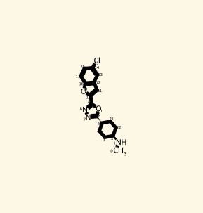 CN[C@H]1CC[C@H](c2nnc(-c3cc4cc(Cl)ccc4o3)o2)CC1